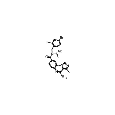 CC(=O)N(C)N(Cc1ccc(Br)cc1F)C(=O)c1ccc2nc(N)c3c(C)ncn3c2c1